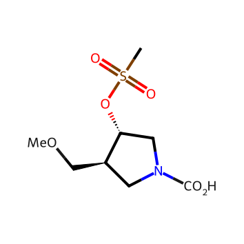 COC[C@@H]1CN(C(=O)O)C[C@H]1OS(C)(=O)=O